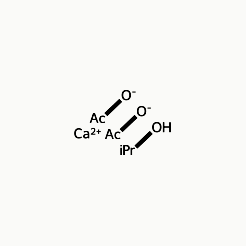 CC(=O)[O-].CC(=O)[O-].CC(C)O.[Ca+2]